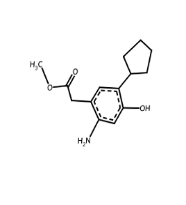 COC(=O)Cc1cc(C2CCCC2)c(O)cc1N